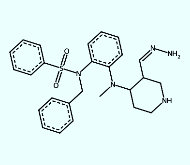 CN(c1ccccc1N(Cc1ccccc1)S(=O)(=O)c1ccccc1)C1CCNCC1/C=N\N